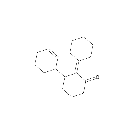 O=C1CCCC(C2C=CCCC2)C1=C1CCCCC1